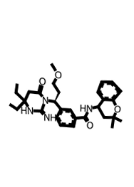 CCC1(CC)CC(=O)N([C@@H](CCOC)c2cccc(C(=O)NC3CC(C)(C)Oc4ccccc43)c2)C(=N)N1